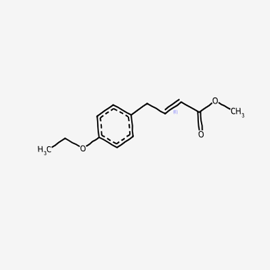 CCOc1ccc(C/C=C/C(=O)OC)cc1